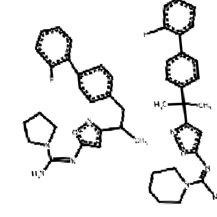 CC(C)(c1ccc(-c2ccccc2F)cc1)c1cc(N=C(N)N2CCCCC2)on1.CC(Cc1ccc(-c2ccccc2F)cc1)c1cc(N=C(N)N2CCCC2)on1